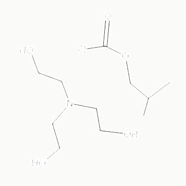 CC(C)COC(=O)Cl.OCCN(CCO)CCO